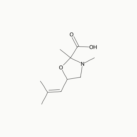 CC(C)=CC1CN(C)C(C)(C(=O)O)O1